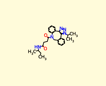 CCC(C)NC(=O)CCC(=O)N1Cc2ccccc2-c2c(nnn2C(C)C)-c2ccccc21